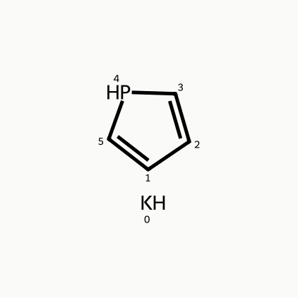 [KH].c1cc[pH]c1